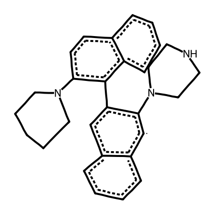 [c]1c(N2CCNCC2)c(-c2c(N3CCCCC3)ccc3ccccc23)cc2ccccc12